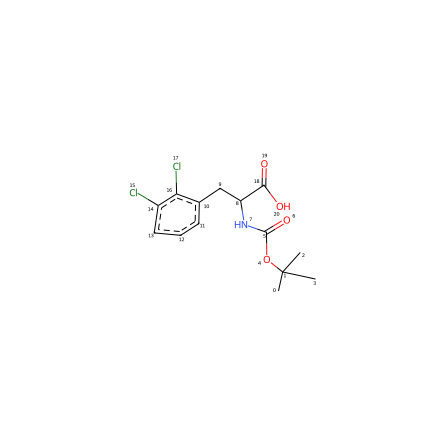 CC(C)(C)OC(=O)NC(Cc1cccc(Cl)c1Cl)C(=O)O